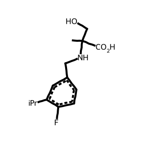 CC(C)c1cc(CNC(C)(CO)C(=O)O)ccc1F